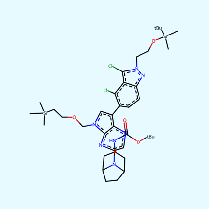 CC(C)(C)OC(=O)NC1CC2CCC(C1)N2c1cnc2c(-c3ccc4nn(CCO[Si](C)(C)C(C)(C)C)c(Cl)c4c3Cl)cn(COCC[Si](C)(C)C)c2n1